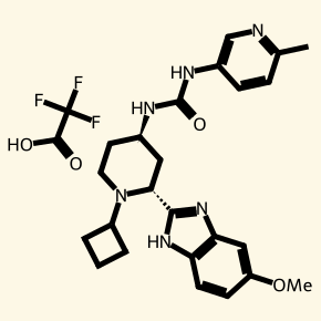 COc1ccc2[nH]c([C@H]3C[C@H](NC(=O)Nc4ccc(C)nc4)CCN3C3CCC3)nc2c1.O=C(O)C(F)(F)F